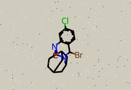 Clc1ccc2c(c1)N=C1C3CC4CC(C3)CC(C4)N1C2Br